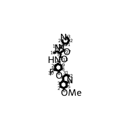 COc1ccc2c(Oc3ccc(NC(=O)c4c(C)n(C)n(-c5cccnc5)c4=O)cc3F)ccnc2c1